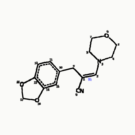 N#C/C(=C/N1CCOCC1)Cc1ccc2c(c1)OCO2